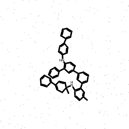 Cc1ccc(NC2(C)C=CC(c3ccccc3)=CC2)c(-c2cccc(-c3ccc(Nc4ccc(-c5ccccc5)cc4)c(-c4ccccc4)c3)c2)c1